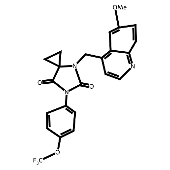 COc1ccc2nccc(CN3C(=O)N(c4ccc(OC(F)(F)F)cc4)C(=O)C34CC4)c2c1